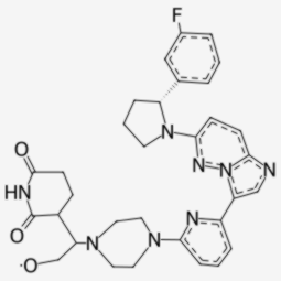 [O]CC(C1CCC(=O)NC1=O)N1CCN(c2cccc(-c3cnc4ccc(N5CCC[C@@H]5c5cccc(F)c5)nn34)n2)CC1